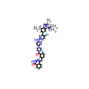 Cc1cc(-c2nc(Nc3ccc(N4CCN(C(=O)c5cc(Cc6n[nH]c(=O)c7ccccc67)ccc5F)CC4)cn3)ncc2F)cc2c1nc(C)n2C(C)C